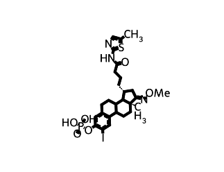 CO/N=C1\C[C@@H](CCCC(=O)Nc2ncc(C)s2)C2C3CCc4cc(OP(=O)(O)O)c(I)cc4C3CC[C@]12C